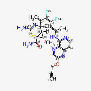 C#CCOc1cnc2c(N/C(C)=C/C(F)=C(/F)C(=C)[C@@]3(C)N=C(N)S[C@]4(C(N)=O)[C@H]3[C@@H]4C)nccc2n1